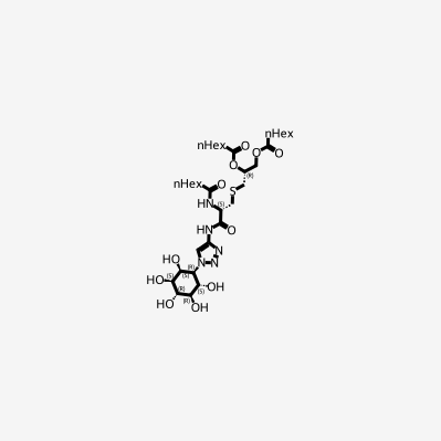 CCCCCCC(=O)N[C@H](CSC[C@@H](COC(=O)CCCCCC)OC(=O)CCCCCC)C(=O)Nc1cn([C@@H]2[C@H](O)[C@H](O)[C@@H](O)[C@H](O)[C@H]2O)nn1